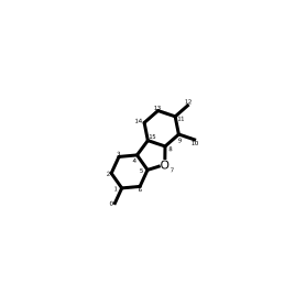 CC1CCC2C(C1)OC1C(C)C(C)CCC21